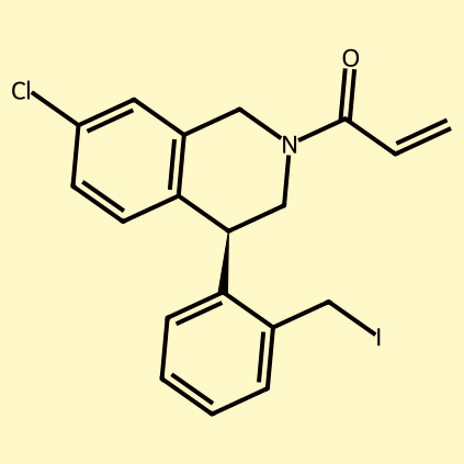 C=CC(=O)N1Cc2cc(Cl)ccc2[C@H](c2ccccc2CI)C1